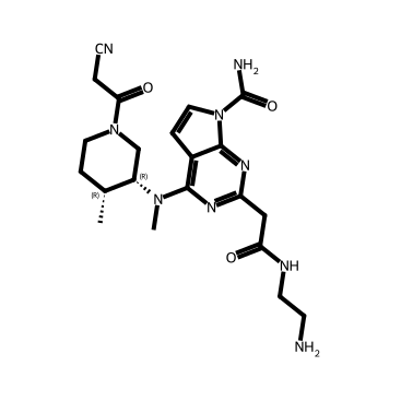 C[C@@H]1CCN(C(=O)CC#N)C[C@@H]1N(C)c1nc(CC(=O)NCCN)nc2c1ccn2C(N)=O